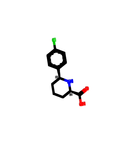 O=C(O)[C@H]1CCC[C@@H](c2ccc(Cl)cc2)N1